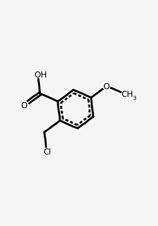 COc1ccc(CCl)c(C(=O)O)c1